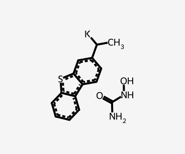 C[CH]([K])c1ccc2c(c1)sc1ccccc12.NC(=O)NO